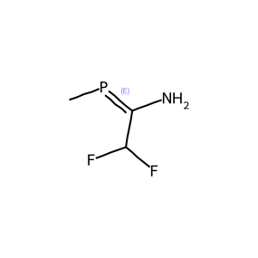 C/P=C(/N)C(F)F